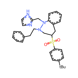 CC(C)(C)c1ccc(S(=O)(=O)C2Cc3ccccc3N(Cc3ncc[nH]3)N(CCc3ccccc3)C2)cc1